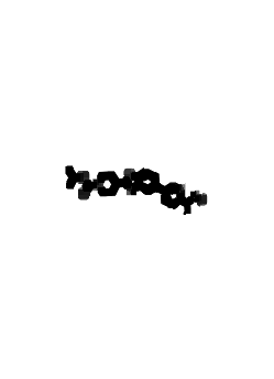 CC(C)OC(=O)N1CCC(c2nc3cc(-c4ccc(C(C)N=O)nc4)ccc3o2)CC1